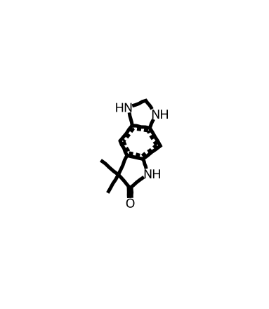 CC1(C)C(=O)Nc2cc3c(cc21)NCN3